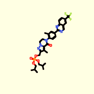 Cc1cc(-c2ncc3cc(C(F)(F)F)ccc3n2)ccc1N1CCn2nc(COP(=O)(OCC(C)C)OCC(C)C)c(C)c2C1=O